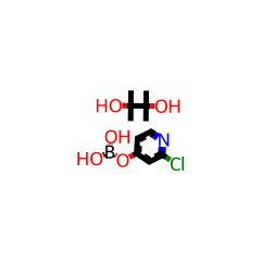 CC(C)(O)C(C)(C)O.OB(O)Oc1ccnc(Cl)c1